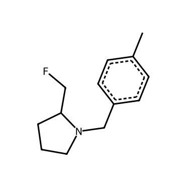 Cc1ccc(CN2CCCC2CF)cc1